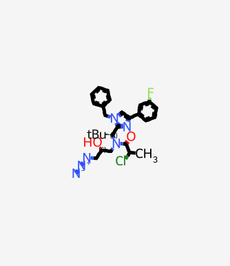 CC(Cl)C(=O)N(C[C@H](O)CN=[N+]=[N-])[C@@H](c1nc(-c2cccc(F)c2)cn1Cc1ccccc1)C(C)(C)C